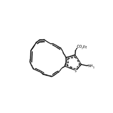 CCOC(=O)c1c(N)sc2c1\C=C/C=C\C=C/C=C\C=C/2